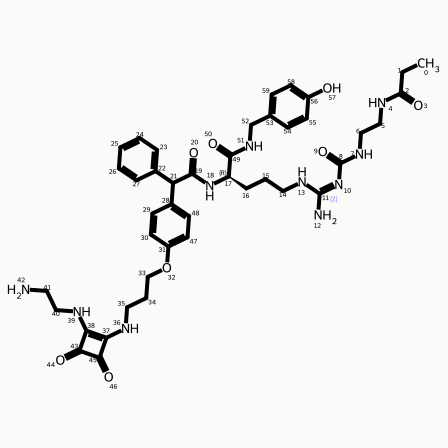 CCC(=O)NCCNC(=O)/N=C(/N)NCCC[C@@H](NC(=O)C(c1ccccc1)c1ccc(OCCCNc2c(NCCN)c(=O)c2=O)cc1)C(=O)NCc1ccc(O)cc1